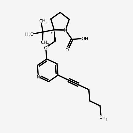 CCCCC#Cc1cncc(OC[C@@]2(C(C)(C)C)CCCN2C(=O)O)c1